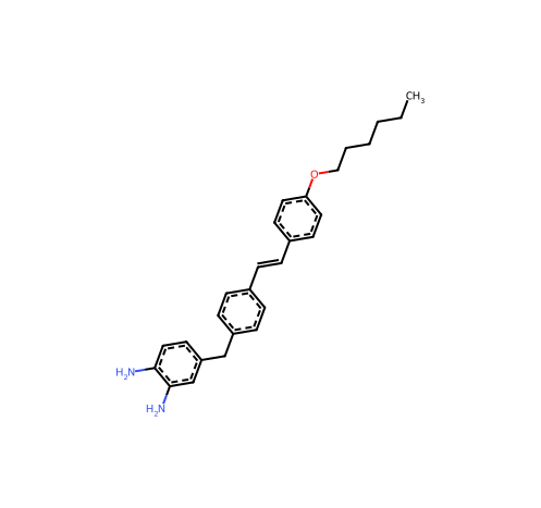 CCCCCCOc1ccc(C=Cc2ccc(Cc3ccc(N)c(N)c3)cc2)cc1